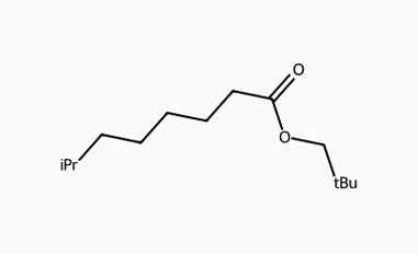 CC(C)CCCCCC(=O)OCC(C)(C)C